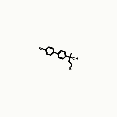 CC(O)(CCBr)c1ccc(-c2ccc(Br)cc2)cc1